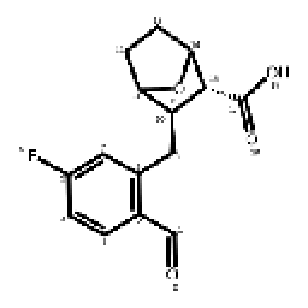 O=Cc1ccc(F)cc1C[C@H]1C2CCC(O2)[C@@H]1C(=O)O